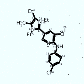 CCc1c(C)n(CC)c(-c2cnc(Nc3ccc(Cl)cc3)c(Cl)c2)[n+]1CC.[I-]